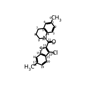 Cc1ccc2c(c1)CCCN2C(=O)c1sc2cc(C)ccc2c1Cl